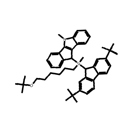 Cn1c2c(c3ccccc31)C([Si](C)(CCCCCCOC(C)(C)C)C1c3cc(C(C)(C)C)ccc3-c3ccc(C(C)(C)C)cc31)c1ccccc1-2